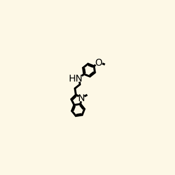 COc1ccc(NCCc2cc3ccccc3n2C)cc1